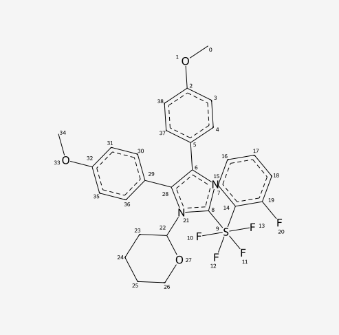 COc1ccc(-c2nc(S(F)(F)(F)(F)c3ccccc3F)n(C3CCCCO3)c2-c2ccc(OC)cc2)cc1